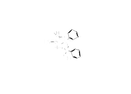 CCCCCC[Si](OCC)(O[Si](C)(O[SiH](C)O[SiH3])c1ccccc1)c1ccccc1